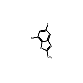 Cc1nc2cc(F)cc(F)c2o1